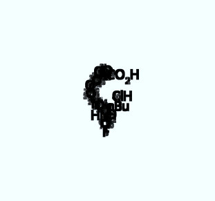 CCCCN(C(=O)Nc1ccc(F)cc1F)C1CCN(Cc2ccc(Oc3ccc(N(CC(=O)O)S(C)(=O)=O)cc3)cc2)CC1.Cl